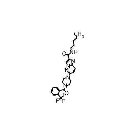 CCCCCNC(=O)c1cn2nc(N3CCN(C(=O)c4ccccc4C(F)(F)F)CC3)ccc2n1